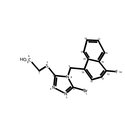 O=C(O)CSc1nnc(Br)n1Cc1ccc(F)c2ccccc12